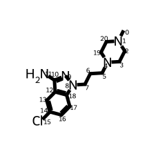 CN1CCN(CCCn2nc(N)c3cc(Cl)ccc32)CC1